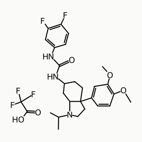 COc1ccc(C23CCC(NC(=O)Nc4ccc(F)c(F)c4)CC2N(C(C)C)CC3)cc1OC.O=C(O)C(F)(F)F